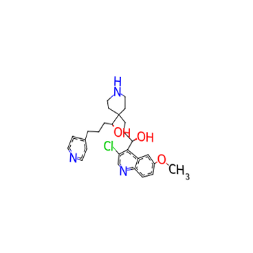 COc1ccc2ncc(Cl)c([C@H](O)CCC3([C@@H](O)CCCc4ccncc4)CCNCC3)c2c1